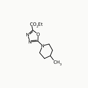 CCOC(=O)c1nnc(N2CCC(C)CC2)o1